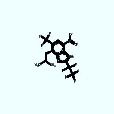 CC(C)Cc1c(C(F)(F)F)cc([N+](=O)[O-])c2[nH]c(C(F)(F)C(F)(F)F)nc12